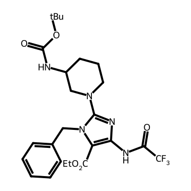 CCOC(=O)c1c(NC(=O)C(F)(F)F)nc(N2CCCC(NC(=O)OC(C)(C)C)C2)n1Cc1ccccc1